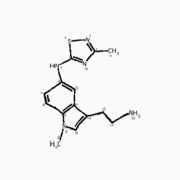 Cc1nsc(Nc2ccc3c(c2)c(CCN)cn3C)n1